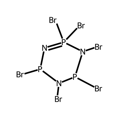 BrN1P(Br)N=P(Br)(Br)N(Br)P1Br